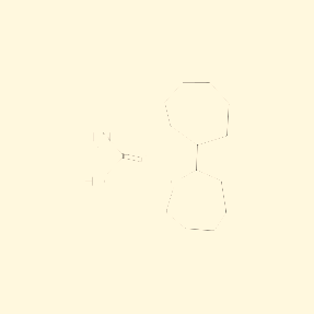 C1CCCC(C2CCCCCO2)CC1.NC(=O)O